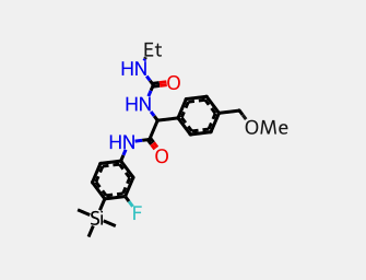 CCNC(=O)NC(C(=O)Nc1ccc([Si](C)(C)C)c(F)c1)c1ccc(COC)cc1